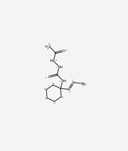 CC(C)(C)/N=N/C1(NC(=S)NNC(N)=O)CCCCC1